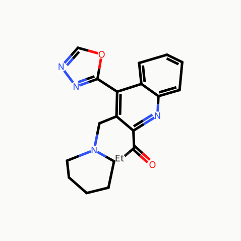 CCC(=O)c1nc2ccccc2c(-c2nnco2)c1CN1CCCCC1